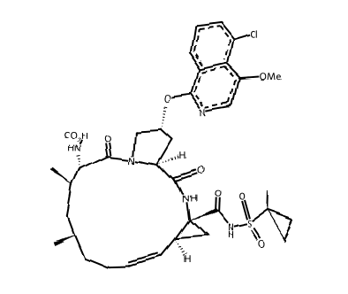 COc1cnc(O[C@@H]2C[C@H]3C(=O)N[C@]4(C(=O)NS(=O)(=O)C5(C)CC5)C[C@H]4C=CCC[C@@H](C)C[C@@H](C)[C@H](NC(=O)O)C(=O)N3C2)c2cccc(Cl)c12